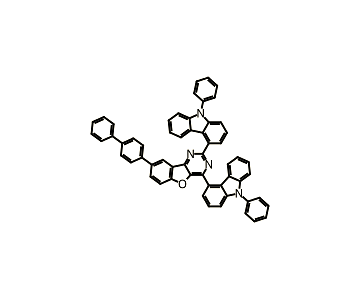 c1ccc(-c2ccc(-c3ccc4oc5c(-c6cccc7c6c6ccccc6n7-c6ccccc6)nc(-c6cccc7c6c6ccccc6n7-c6ccccc6)nc5c4c3)cc2)cc1